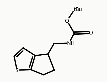 CC(C)(C)OC(=O)NCC1CCc2sccc21